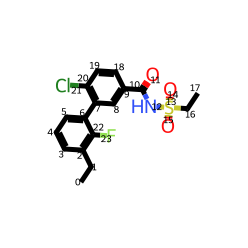 CCc1cccc(-c2cc(C(=O)NS(=O)(=O)CC)ccc2Cl)c1F